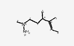 C/C=C(\C)C(C)CCN(C)N